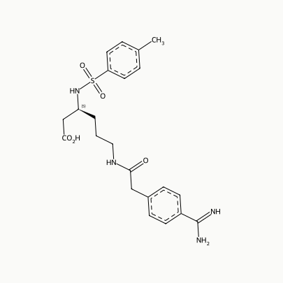 Cc1ccc(S(=O)(=O)N[C@@H](CCCNC(=O)Cc2ccc(C(=N)N)cc2)CC(=O)O)cc1